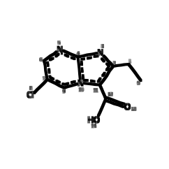 CCc1nc2ncc(Cl)cn2c1C(=O)O